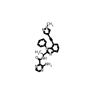 C[C@H](NC(=O)c1nccnc1N)c1nc2cccc(C#Cc3cnn(C)c3)c2n1-c1ccccc1